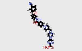 Cc1cc(OC2(C)CC(C)(NC(=O)c3ccc(N4CCC(CN5CCN(c6cnc(C(=O)O)nc6)CC5)CC4)cc3)C2(C)C)cc(C)c1C#N